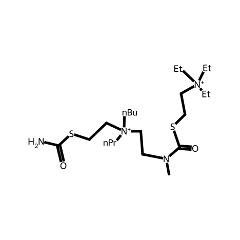 CCCC[N+](CCC)(CCSC(N)=O)CCN(C)C(=O)SCC[N+](CC)(CC)CC